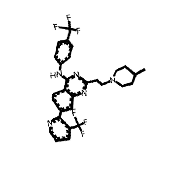 CC1CCN(CCc2nc(Nc3ccc(C(F)(F)F)cc3)c3ccc(-c4ncccc4C(F)(F)F)cc3n2)CC1